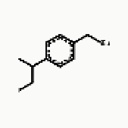 CCC(C)Cc1ccc(C(C)CI)cc1